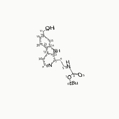 CC(C)(C)OC(=O)NCCc1nccc2c1[nH]c1cc(CO)ccc12